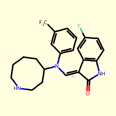 O=C1Nc2ccc(F)cc2/C1=C\N(c1cccc(C(F)(F)F)c1)C1CCCCNCC1